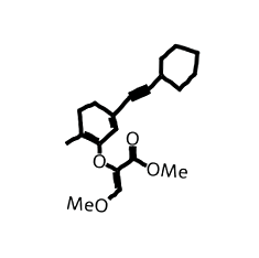 CO/C=C(\OC1=C(C)CCC(C#CC2CCCCC2)=C1)C(=O)OC